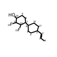 C/C=C/C1CCC(C2CCC(O)C(F)C2F)CC1